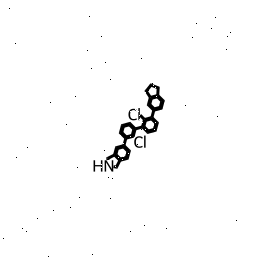 Clc1c(-c2ccc3c(c2)CCC3)cccc1-c1cccc(-c2ccc3c(c2)CNC3)c1Cl